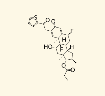 CCC(=O)O[C@H]1[C@H](C)C[C@H]2[C@@H]3C[C@H](F)C4=CC(=O)C(CC(=O)c5cccs5)=C[C@]4(C)[C@@]3(F)[C@@H](O)C[C@@]21C